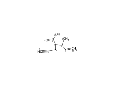 C#CCC(C(=O)O)C(C)C=C